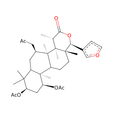 CC(=O)C[C@@H]1CC2C(C)(C)[C@H](OC(C)=O)C[C@H](OC(C)=O)[C@]2(C)C2CC[C@@]3(C)[C@H](c4ccoc4)OC(=O)[C@@H](C)[C@]3(C)[C@@]21C